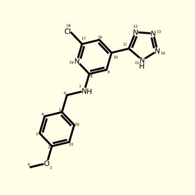 COc1ccc(CNc2cc(-c3nnn[nH]3)cc(Cl)n2)cc1